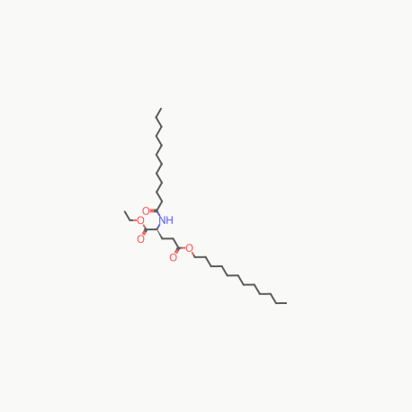 CCCCCCCCCCCCOC(=O)CC[C@H](NC(=O)CCCCCCCCCCC)C(=O)OCC